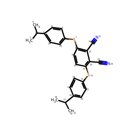 CC(C)c1ccc(Sc2ccc(Sc3ccc(C(C)C)cc3)c(C#N)c2C#N)cc1